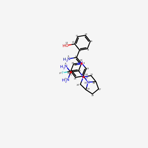 NC(N)=C(/C=C(\N)c1ccccc1O)N1CC2CCC(C1)N2c1cncc(F)c1